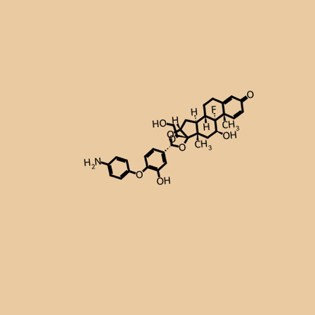 C[C@]12C=CC(=O)C=C1CC[C@H]1[C@@H]3C[C@H]4O[C@@H](c5ccc(Oc6ccc(N)cc6)c(O)c5)O[C@@]4(C(=O)CO)[C@@]3(C)C[C@H](O)[C@@]12F